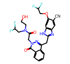 N#Cc1cc2nc(Cc3nn(CC(=O)N(CCO)CC(F)F)c(=O)c4ccccc34)[nH]c2cc1OCC(F)F